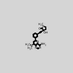 CN1CC[C@@](O)(C#Cc2cccc(-c3cc(N(C)C)c4ncnc(N)c4n3)c2)C1=O